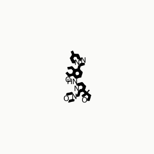 CCc1c(-c2cnc3cc(C)ccn23)ccc(Nc2ccc([C@]3(C)CCOC3)c(CN3CCOCC3)n2)c1C(C)=O